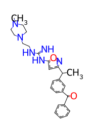 CC(c1cccc(C(=O)c2ccccc2)c1)c1cc(NC(=N)NCCN2CCN(C)CC2)on1